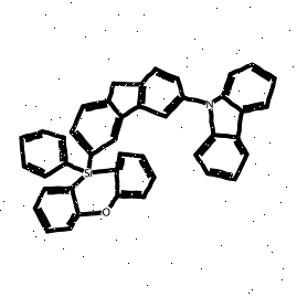 c1ccc([Si]2(c3ccc4c(c3)-c3cc(-n5c6ccccc6c6ccccc65)ccc3C4)c3ccccc3Oc3ccccc32)cc1